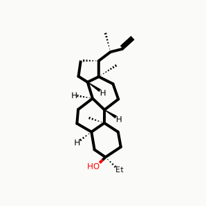 C=C[C@@H](C)[C@H]1CC[C@H]2[C@@H]3CC[C@@H]4C[C@@](O)(CC)CC[C@]4(C)[C@H]3CC[C@]12C